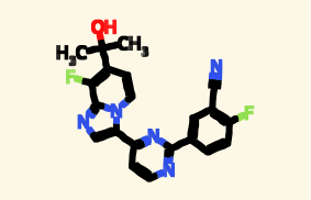 CC(C)(O)c1ccn2c(-c3ccnc(-c4ccc(F)c(C#N)c4)n3)cnc2c1F